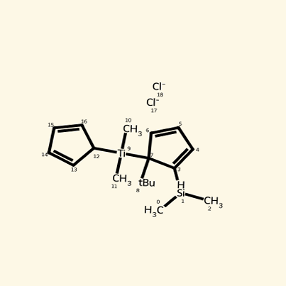 C[SiH](C)C1=CC=C[C]1(C(C)(C)C)[Ti]([CH3])([CH3])[CH]1C=CC=C1.[Cl-].[Cl-]